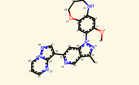 COc1cc2c(cc1-n1nc(C)c3cnc(-c4cnn5cccnc45)cc31)OCCCN2